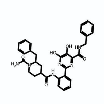 NC(=O)N1CCC(C(=O)Nc2ccccc2-c2nc(O)c(O)c(C(=O)NCc3ccccc3)n2)CC1Cc1ccccc1